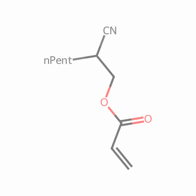 C=CC(=O)OCC(C#N)CCCCC